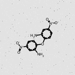 Nc1cc([N+](=O)[O-])ccc1Oc1ccc([N+](=O)[O-])cc1N